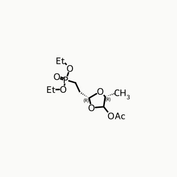 CCOP(=O)(CC[C@H]1OC(OC(C)=O)[C@@H](C)O1)OCC